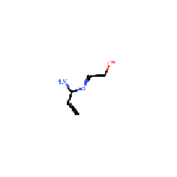 C=CC(N)N=CCO